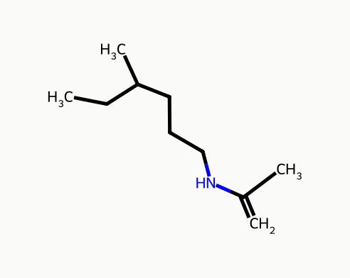 C=C(C)NCCCC(C)CC